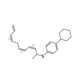 C=C/C=C\C/C=C\C=C/C(C)Sc1ccc(C2CCCCC2)cc1